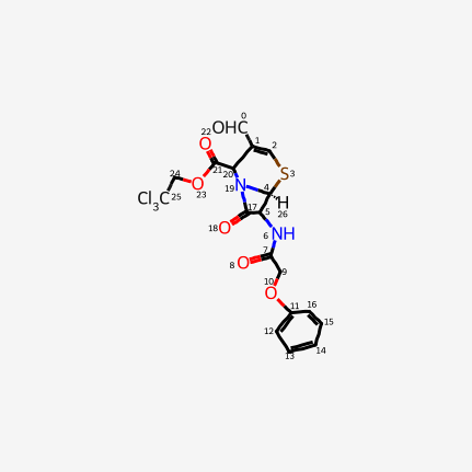 O=CC1=CS[C@H]2C(NC(=O)COc3ccccc3)C(=O)N2C1C(=O)OCC(Cl)(Cl)Cl